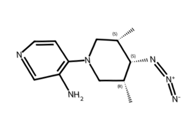 C[C@@H]1CN(c2ccncc2N)C[C@H](C)[C@@H]1N=[N+]=[N-]